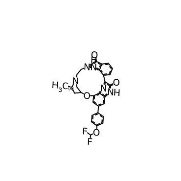 C[C@@H]1CC2CN1CCn1[nH]c3c(cccc3c1=O)-c1nc3c(cc(-c4ccc(OC(F)F)cc4)cc3[nH]c1=O)O2